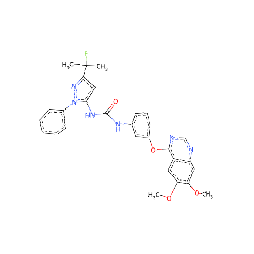 COc1cc2ncnc(Oc3cccc(NC(=O)Nc4cc(C(C)(C)F)nn4-c4ccccc4)c3)c2cc1OC